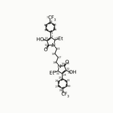 CCC1C(c2ccc(C(F)(F)F)cc2)=C(O)C(=O)N1CCCCN1C(=O)C(O)=C(c2ccc(C(F)(F)F)cc2)C1CC